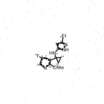 CCc1cc(NC2(c3cc(F)cnc3OC)CC2)[nH]n1